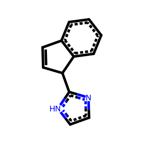 C1=CC(c2ncc[nH]2)c2ccccc21